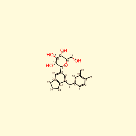 Cc1ccc(Cc2cc([C@@H]3O[C@H](CO)[C@@H](O)[C@H](O)[C@H]3O)cc3c2CCC3)cc1C